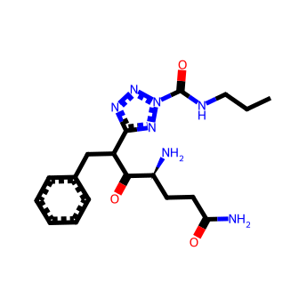 CCCNC(=O)n1nnc([C](Cc2ccccc2)C(=O)[C@@H](N)CCC(N)=O)n1